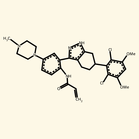 C=CC(=O)Nc1ccc(N2CCN(C)CC2)cc1-c1n[nH]c2c1CCC(c1c(Cl)c(OC)cc(OC)c1Cl)C2